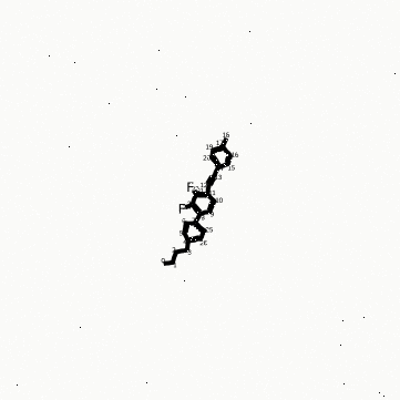 CCCCc1ccc(-c2ccc(C#Cc3ccc(C)cc3)c(F)c2F)cc1